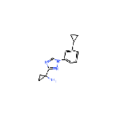 NC1(c2ncn(-c3cccc(C4CC4)c3)n2)CC1